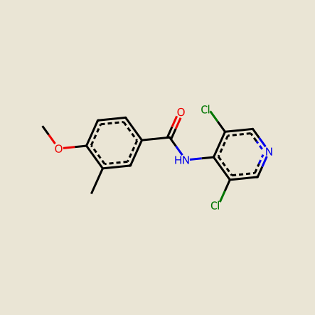 COc1ccc(C(=O)Nc2c(Cl)cncc2Cl)cc1C